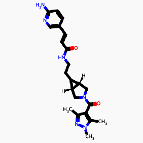 Cc1nn(C)c(C)c1C(=O)N1C[C@@H]2C(CCNC(=O)/C=C/c3ccc(N)nc3)[C@@H]2C1